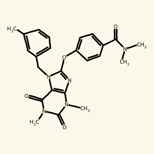 Cc1cccc(Cn2c(Oc3ccc(C(=O)N(C)C)cc3)nc3c2c(=O)n(C)c(=O)n3C)c1